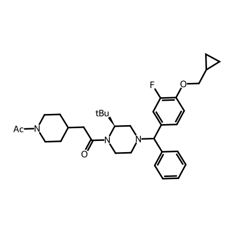 CC(=O)N1CCC(CC(=O)N2CCN(C(c3ccccc3)c3ccc(OCC4CC4)c(F)c3)C[C@@H]2C(C)(C)C)CC1